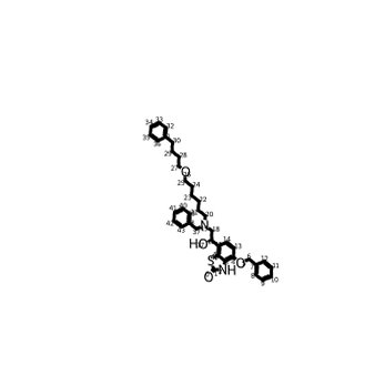 O=c1[nH]c2c(OCc3ccccc3)ccc([C@@H](O)CN(CCCCCCOCCCCc3ccccc3)Cc3ccccc3)c2s1